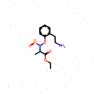 CCOC(=O)C(C)N(Oc1ccccc1CCN)[PH2]=O